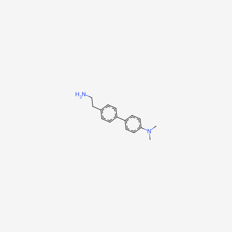 CN(C)c1ccc(-c2ccc(CCN)cc2)cc1